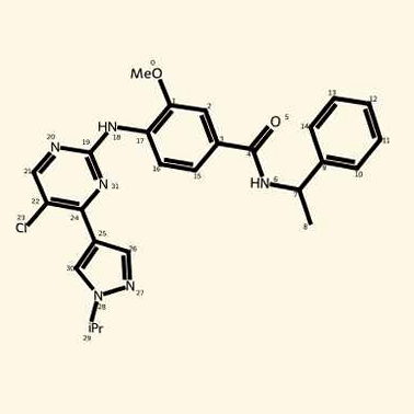 COc1cc(C(=O)NC(C)c2ccccc2)ccc1Nc1ncc(Cl)c(-c2cnn(C(C)C)c2)n1